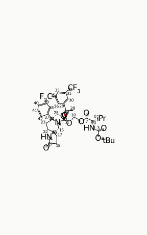 CC(C)[C@H](NC(=O)OC(C)(C)C)C(=O)OCOC(=O)N1C[C@@]2(CCC(=O)N2)CC[C@@]1(CO[C@H](C)c1cc(C(F)(F)F)cc(C(F)(F)F)c1)c1ccccc1